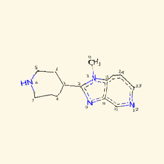 Cn1c(C2CCNCC2)nc2cnccc21